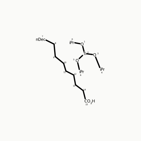 CC(C)[O][Ti]([O]C(C)C)[O]C(C)C.CCCCCCCCCCCCCCCCCC(=O)O